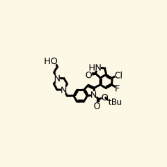 CC(C)(C)OC(=O)n1c(-c2cc(F)c(Cl)c3c2C(=O)NC3)cc2cc(CN3CCN(CCO)CC3)ccc21